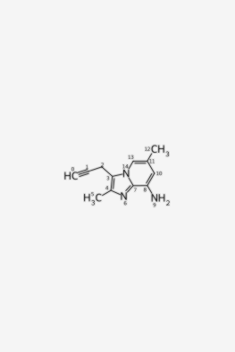 C#CCc1c(C)nc2c(N)cc(C)cn12